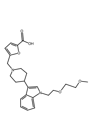 COCCOCCn1cc(C2CCN(Cc3ccc(C(=O)O)o3)CC2)c2ccccc21